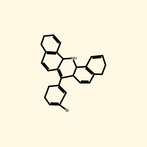 BrC1=CCCC(C2=C3C=CC4=C(C=CCC4)C3NC3C4=C(C=CC23)CCC=C4)=C1